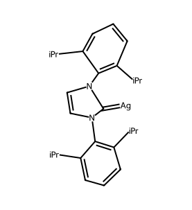 CC(C)c1cccc(C(C)C)c1-n1ccn(-c2c(C(C)C)cccc2C(C)C)[c]1=[Ag]